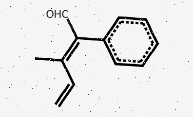 C=CC(C)=C(C=O)c1ccccc1